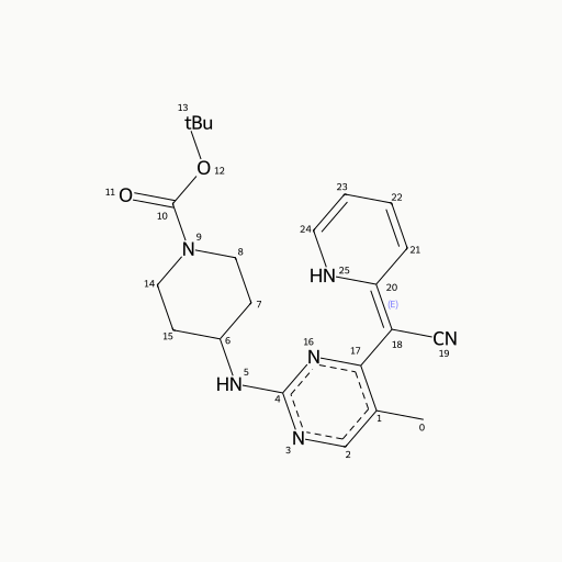 Cc1cnc(NC2CCN(C(=O)OC(C)(C)C)CC2)nc1/C(C#N)=C1/C=CC=CN1